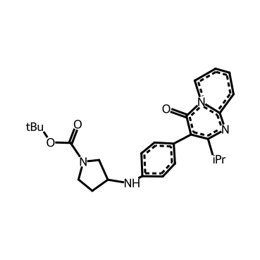 CC(C)c1nc2ccccn2c(=O)c1-c1ccc(NC2CCN(C(=O)OC(C)(C)C)C2)cc1